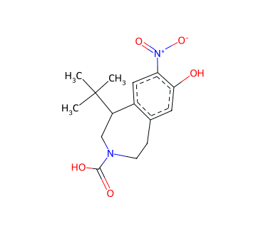 CC(C)(C)C1CN(C(=O)O)CCc2cc(O)c([N+](=O)[O-])cc21